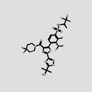 CC(NS(=O)(=O)c1ccc(-c2sc(-c3noc(C(C)(C)O)n3)nc2C(=O)N2CCC(F)(F)CC2)c(C(F)F)c1F)C(F)(F)F